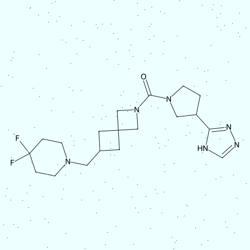 O=C(N1CCC(c2nnc[nH]2)C1)N1CC2(CC(CN3CCC(F)(F)CC3)C2)C1